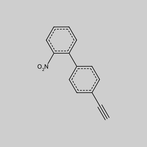 C#Cc1ccc(-c2ccccc2[N+](=O)[O-])cc1